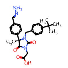 CC(C)(C)c1ccc(CN2C(=O)N(CC(=O)O)C(=O)[C@]2(C)c2ccc(C=NN)cc2)cc1